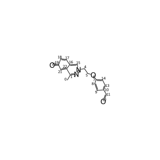 Cc1nn(CCOc2ccc(C=O)cc2)cc2ccc(=O)cc1-2